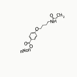 C=CC(=O)NCCCCOc1ccc(C(=O)OCCCCCCCCC)cc1